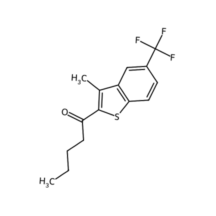 CCCCC(=O)c1sc2ccc(C(F)(F)F)cc2c1C